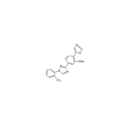 COc1cc(-c2ncn(-c3ccccc3C)n2)ccc1-c1cnco1